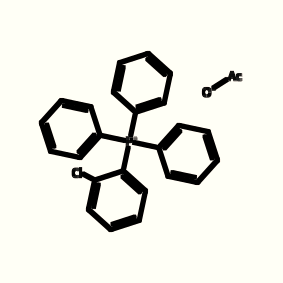 CC(=O)[O-].Clc1ccccc1[P+](c1ccccc1)(c1ccccc1)c1ccccc1